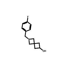 OC1CC2(C1)CN(Cc1ccc(F)cc1)C2